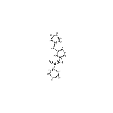 O=C(Nc1cccc(Oc2ccccc2)n1)c1ccccc1